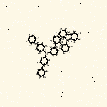 c1ccc(-c2ccc(N(c3ccc(-c4ccccc4)cc3)c3cccc(-c4ccccc4-c4ccccc4-n4c5ccccc5c5ccccc54)c3)cc2)cc1